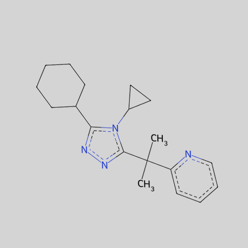 CC(C)(c1ccccn1)c1nnc(C2CCCCC2)n1C1CC1